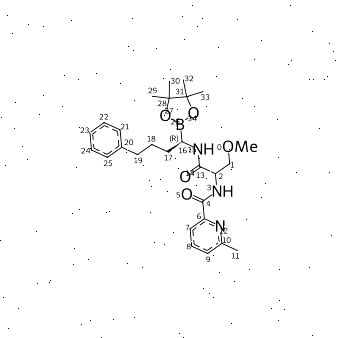 COCC(NC(=O)c1cccc(C)n1)C(=O)N[C@@H](CCCc1ccccc1)B1OC(C)(C)C(C)(C)O1